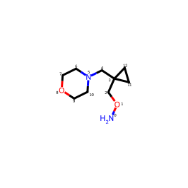 NOCC1(CN2CCOCC2)CC1